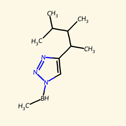 CBn1cc(C(C)C(C)C(C)C)nn1